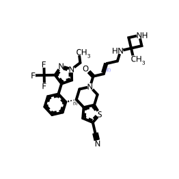 CCn1cc(-c2ccccc2[C@@H]2CN(C(=O)/C=C/CNC3(C)CNC3)Cc3sc(C#N)cc32)c(C(F)(F)F)n1